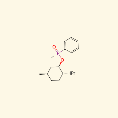 CC(C)[C@@H]1CC[C@@H](C)C[C@H]1O[P@@](C)(=O)c1ccccc1